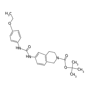 CCOc1ccc(NC(=O)Nc2ccc3c(c2)CCN(C(=O)OC(C)(C)C)C3)cc1